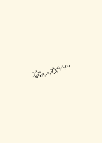 OCCCOc1ccc(CCCCOC2CCCCO2)cc1